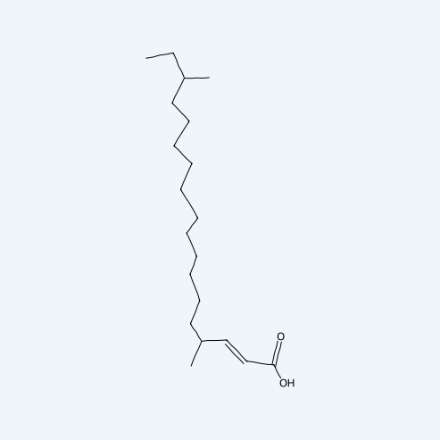 CCC(C)CCCCCCCCCCCC(C)C=CC(=O)O